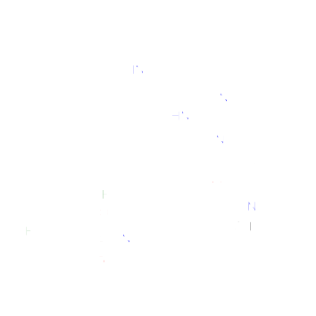 Cc1ccc2c(NS(=O)(=O)Cc3ccc(F)cc3F)c(F)ccc2c1Oc1ncccc1-c1ccnc(NC2CCCNC2)n1